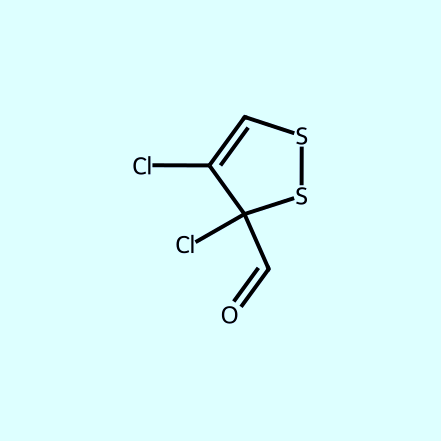 O=CC1(Cl)SSC=C1Cl